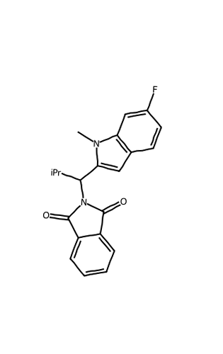 CC(C)C(c1cc2ccc(F)cc2n1C)N1C(=O)c2ccccc2C1=O